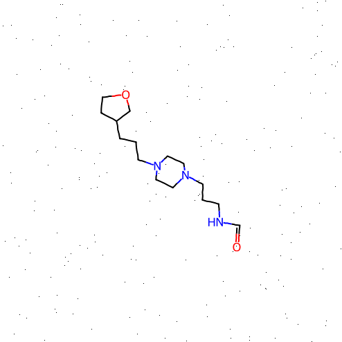 O=CNCCCN1CCN(CCCC2CCOC2)CC1